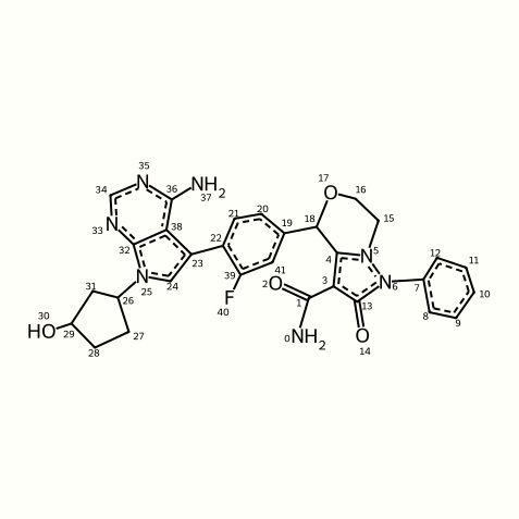 NC(=O)c1c2n(n(-c3ccccc3)c1=O)CCOC2c1ccc(-c2cn(C3CCC(O)C3)c3ncnc(N)c23)c(F)c1